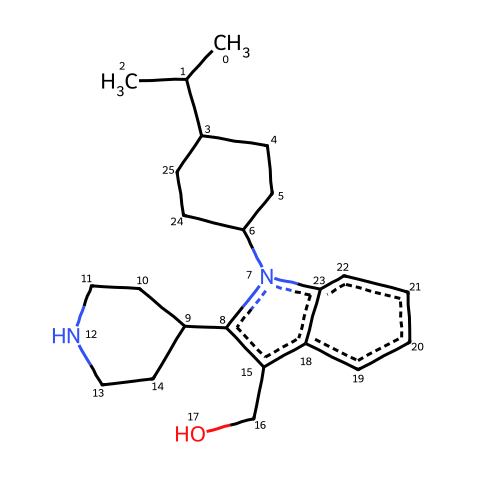 CC(C)C1CCC(n2c(C3CCNCC3)c(CO)c3ccccc32)CC1